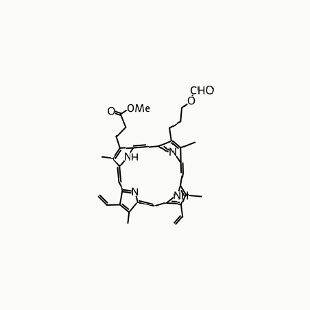 C=CC1=C(C)c2cc3[nH]c(cc4nc(cc5[nH]c(cc1n2)c(C)c5CCC(=O)OC)C(CCCOC=O)=C4C)c(C)c3C=C